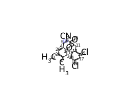 Cc1ccc(/C=C(/C#N)S(=O)(=O)Cc2ccc(Cl)cc2Cl)cc1C